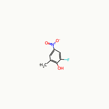 [CH2]c1cc([N+](=O)[O-])cc(F)c1O